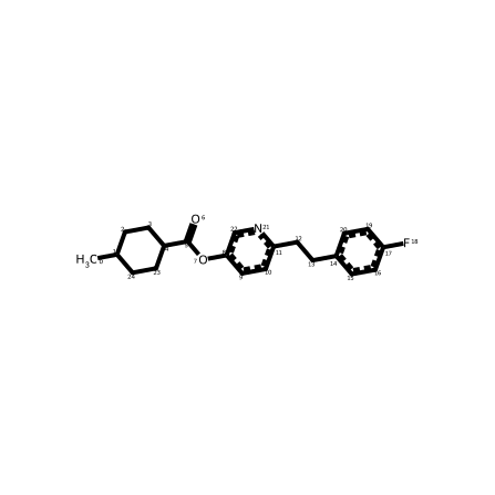 CC1CCC(C(=O)Oc2ccc(CCc3ccc(F)cc3)nc2)CC1